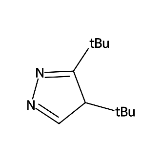 CC(C)(C)C1=NN=CC1C(C)(C)C